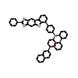 c1ccc(-c2nc3cc4c(cc3o2)oc2c(-c3ccc(N(c5ccc(-c6ccc7ccccc7c6)cc5)c5ccccc5-c5ccccc5)cc3)cccc24)cc1